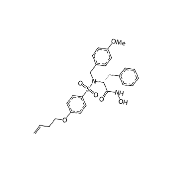 C=CCCOc1ccc(S(=O)(=O)N(Cc2ccc(OC)cc2)[C@H](Cc2ccccc2)C(=O)NO)cc1